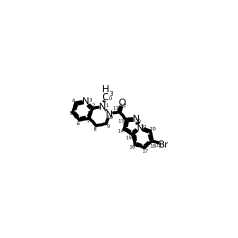 CN1c2ncccc2CCN1C(=O)c1cc2ccc(Br)cn2n1